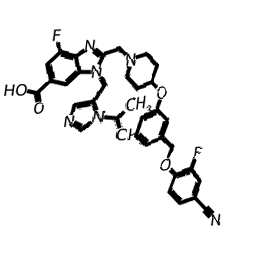 CC(C)n1cncc1Cn1c(CN2CCC(Oc3cccc(COc4ccc(C#N)cc4F)c3)CC2)nc2c(F)cc(C(=O)O)cc21